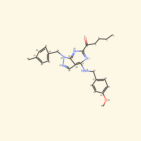 CCCCC(=O)c1nc(NCc2ccc(OC)cc2)c2cnn(Cc3ccc(C)cc3)c2n1